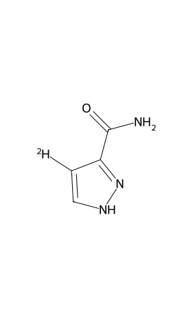 [2H]c1c[nH]nc1C(N)=O